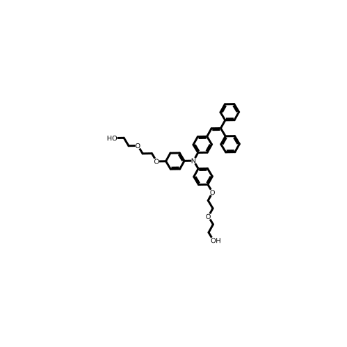 OCCOCCOc1ccc(N(C2=CCC(OCCOCCO)C=C2)c2ccc(C=C(c3ccccc3)c3ccccc3)cc2)cc1